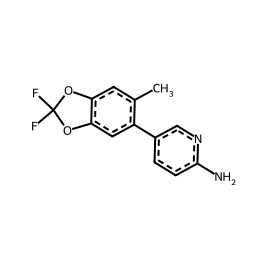 Cc1cc2c(cc1-c1ccc(N)nc1)OC(F)(F)O2